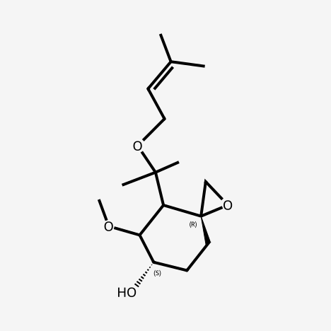 COC1C(C(C)(C)OCC=C(C)C)[C@]2(CC[C@@H]1O)CO2